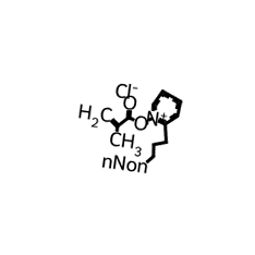 C=C(C)C(=O)O[n+]1ccccc1CCCCCCCCCCCC.[Cl-]